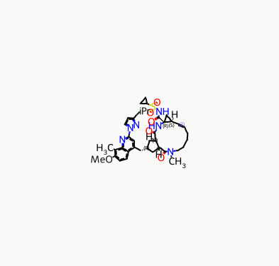 COc1ccc2c(C[C@@H]3C[C@H]4C(=O)N[C@]5(C(=O)NS(=O)(=O)C6CC6)C[C@H]5/C=C\CCCCN(C)C(=O)[C@@H]4C3)cc(-n3ccc(C(C)C)n3)nc2c1C